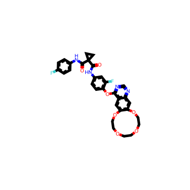 O=C(Nc1ccc(F)cc1)C1(C(=O)Nc2ccc(Oc3ncnc4cc5c(cc34)OCCOCCOCCO5)c(F)c2)CC1